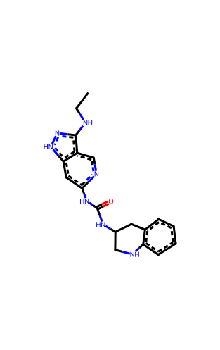 CCNc1n[nH]c2cc(NC(=O)NC3CNc4ccccc4C3)ncc12